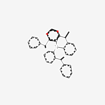 C=C(c1ccccc1)c1ccccc1N(c1ccccc1C(=C)c1ccccc1)c1ccccc1C(=C)c1ccccc1